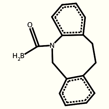 BC(=O)N1Cc2ccccc2CCc2ccccc21